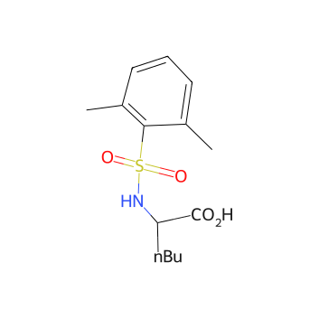 CCCCC(NS(=O)(=O)c1c(C)cccc1C)C(=O)O